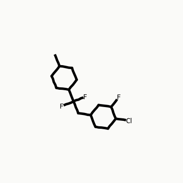 CC1CCC(C(F)(F)CC2CCC(Cl)C(F)C2)CC1